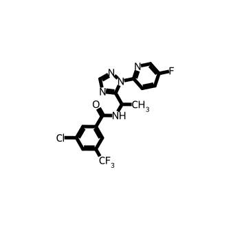 CC(NC(=O)c1cc(Cl)cc(C(F)(F)F)c1)c1ncnn1-c1ccc(F)cn1